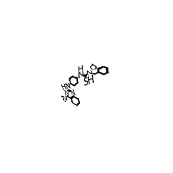 COc1ccccc1CNC(=S)N[C@H]1CC[C@@H](Nc2nc3c(c(N(C)C)n2)CCCC3)CC1